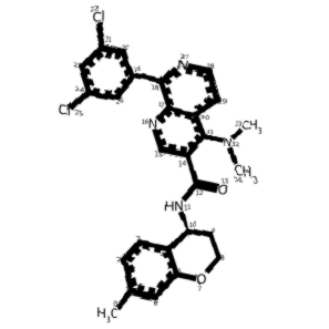 Cc1ccc2c(c1)OCC[C@@H]2NC(=O)c1cnc2c(-c3cc(Cl)cc(Cl)c3)nccc2c1N(C)C